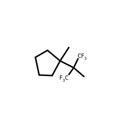 CC1(C(C)(C(F)(F)F)C(F)(F)F)CCCC1